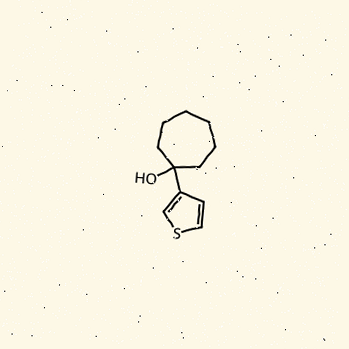 OC1(c2ccsc2)CCCCCC1